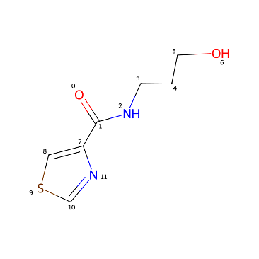 O=C(NCCCO)c1cscn1